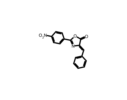 O=C1OC(c2ccc([N+](=O)[O-])cc2)=NC1=Cc1ccccc1